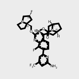 CC(C)(C)OC(=O)N1[C@@H]2CC[C@H]1CN(c1nc(OC[C@@]34CCCN3C[C@H](F)C4)nc3c(F)c(-c4cc(C(F)(F)F)cc(N)n4)ccc13)C2